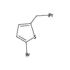 CC(C)Cc1ccc(Br)s1